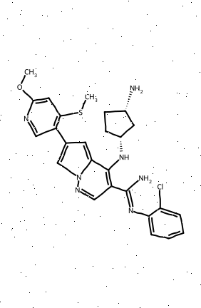 COc1cc(SC)c(-c2cc3c(N[C@@H]4CC[C@H](N)C4)c(/C(N)=N/c4ccccc4Cl)cnn3c2)cn1